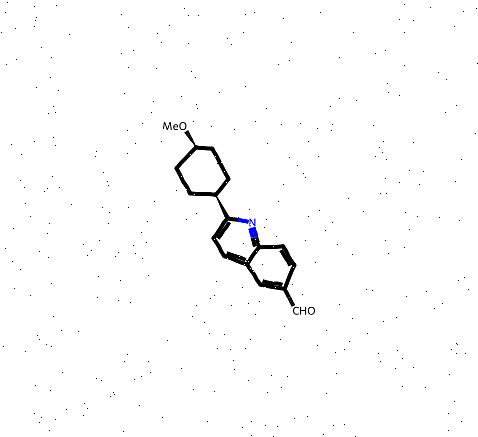 CO[C@H]1CC[C@@H](c2ccc3cc(C=O)ccc3n2)CC1